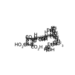 CCOc1ccc(C(=O)N2CCN(c3ccc(-c4cccnc4OCC)nc3CNCCCNC(=O)C[C@H](O)C[C@H](O)CCNC(=O)CN3CCN(CC(=O)O)CCN(CC(=O)O)CCN(CC(=O)O)CC3)[C@H](CC)C2)c(C(F)(F)F)n1.O=C(O)C(F)(F)F